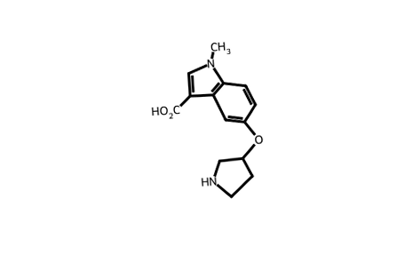 Cn1cc(C(=O)O)c2cc(OC3CCNC3)ccc21